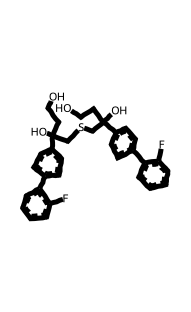 OCCC(O)(CSCC(O)(CCO)c1ccc(-c2ccccc2F)cc1)c1ccc(-c2ccccc2F)cc1